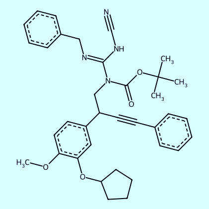 COc1ccc(C(C#Cc2ccccc2)CN(C(=O)OC(C)(C)C)C(=NCc2ccccc2)NC#N)cc1OC1CCCC1